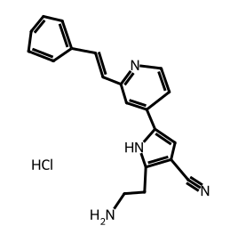 Cl.N#Cc1cc(-c2ccnc(C=Cc3ccccc3)c2)[nH]c1CCN